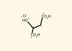 O=C(O)CC(O)C(=O)O.[Cr]